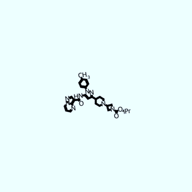 Cc1ccc(-n2nc(C3CCN(C4CN(C(=O)OC(C)C)C4)CC3)cc2NC(=O)c2cnn3cccnc23)cc1